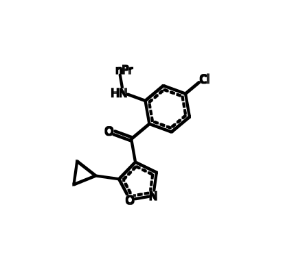 CCCNc1cc(Cl)ccc1C(=O)c1cnoc1C1CC1